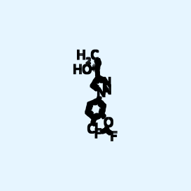 C=C[C@H](O)c1cn(-c2ccc(Cl)c(OC(F)F)c2)nn1